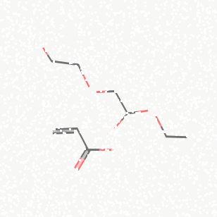 C=CC(=O)O.CCOC(O)COCCO